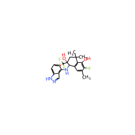 Cc1cc2c(c(O)c1F)C(C)(C)CC(O)(C(F)(F)F)C2Nc1cccc2[nH]ncc12